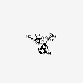 O=P([O-])([O-])O.[2H]C12N=CN([C@@H]3O[C@H](CO)[C@@H](O)[C@H]3O)C1=NC=NC2=N.[Na+].[Na+]